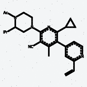 C=Cc1cc(-c2c(C3CC3)nc(N3CCN(C(C)=O)C(C(C)C)C3)c(C#N)c2C)ccn1